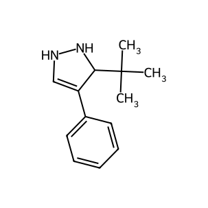 CC(C)(C)C1NNC=C1c1ccccc1